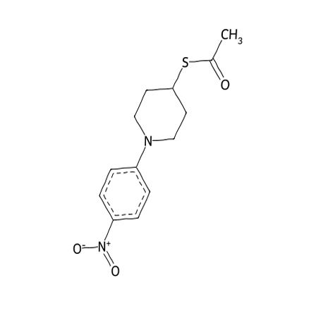 CC(=O)SC1CCN(c2ccc([N+](=O)[O-])cc2)CC1